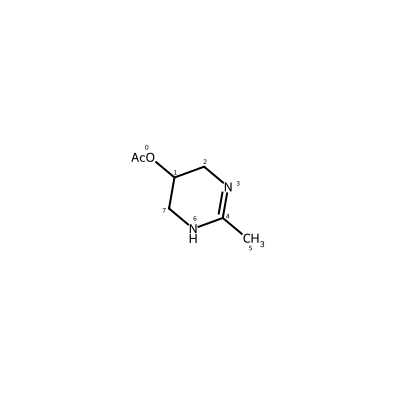 CC(=O)OC1CN=C(C)NC1